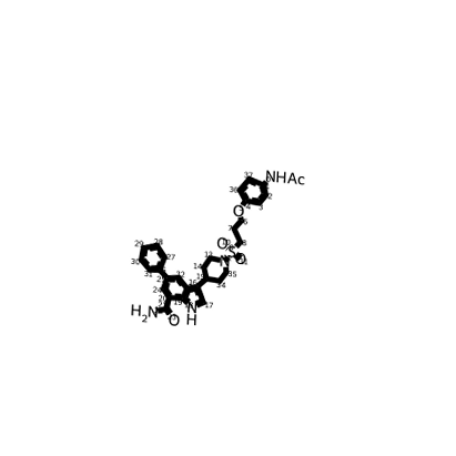 CC(=O)Nc1ccc(OCCCS(=O)(=O)N2CCC(c3c[nH]c4c(C(N)=O)cc(-c5ccccc5)cc34)CC2)cc1